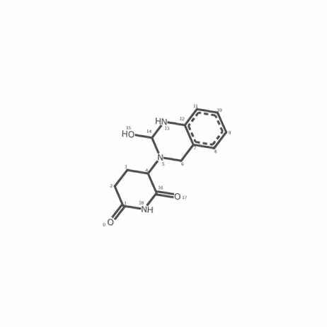 O=C1CCC(N2Cc3ccccc3NC2O)C(=O)N1